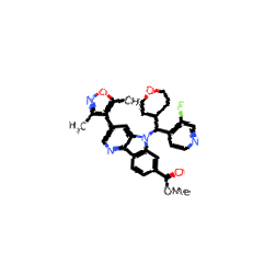 COC(=O)c1ccc2c3ncc(-c4c(C)noc4C)cc3n(C(c3ccncc3F)C3CCOCC3)c2c1